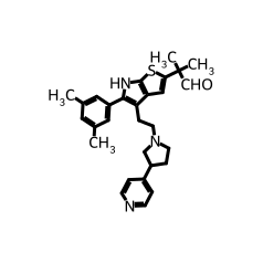 Cc1cc(C)cc(-c2[nH]c3sc(C(C)(C)C=O)cc3c2CCN2CCC(c3ccncc3)C2)c1